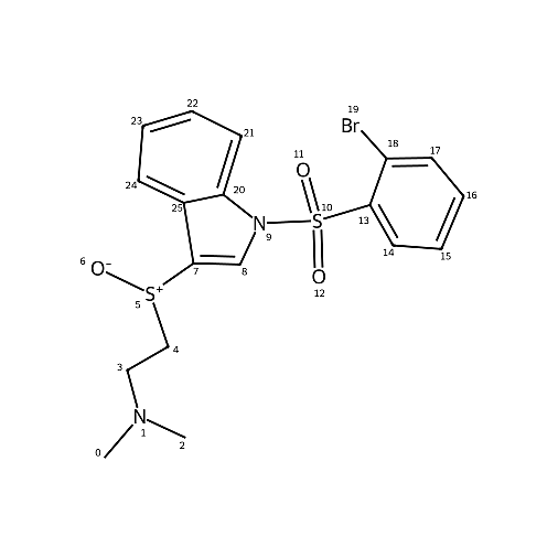 CN(C)CC[S+]([O-])c1cn(S(=O)(=O)c2ccccc2Br)c2ccccc12